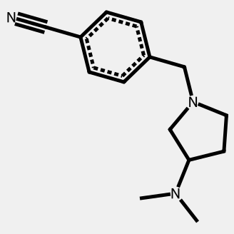 CN(C)C1CCN(Cc2ccc(C#N)cc2)C1